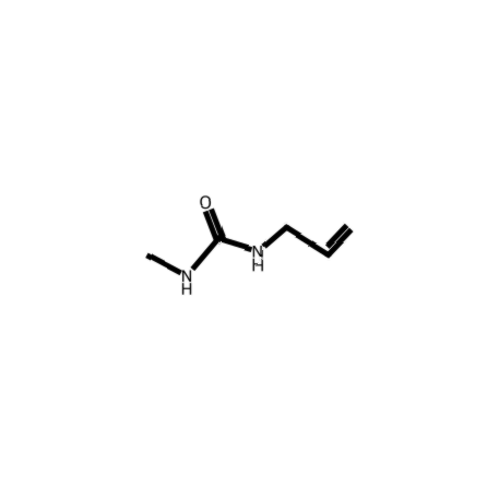 C=CCNC(=O)NC